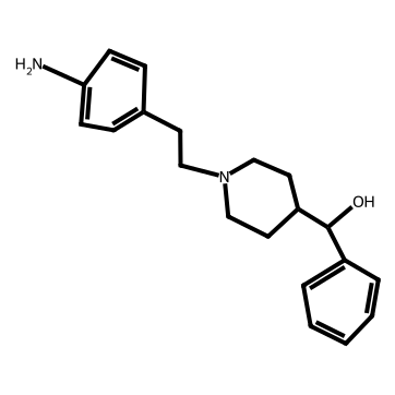 Nc1ccc(CCN2CCC(C(O)c3ccccc3)CC2)cc1